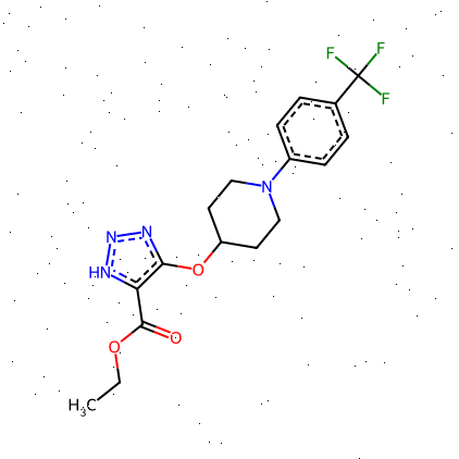 CCOC(=O)c1[nH]nnc1OC1CCN(c2ccc(C(F)(F)F)cc2)CC1